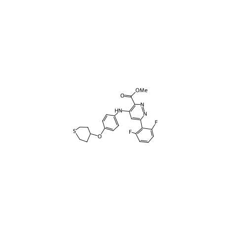 COC(=O)c1nnc(-c2c(F)cccc2F)cc1Nc1ccc(OC2CCSCC2)cc1